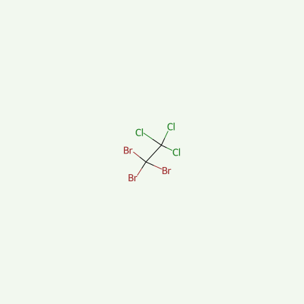 ClC(Cl)(Cl)C(Br)(Br)Br